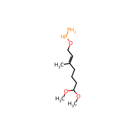 COC(CCC/C(C)=C/COPP)OC